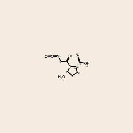 O.O=C=NCC(=O)N1CCC[C@H]1C(=O)O